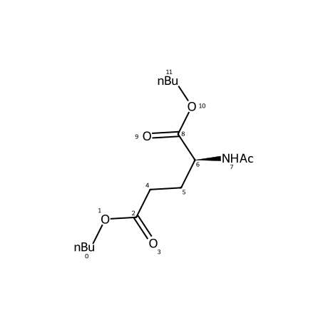 CCCCOC(=O)CC[C@H](NC(C)=O)C(=O)OCCCC